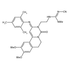 CN/C(=N\C#N)NCCn1c(=O)n2c(c/c1=N\c1c(C)cc(C)cc1C)-c1cc(OC)c(OC)cc1CC2